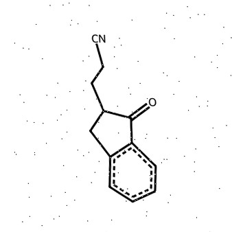 N#CCCC1Cc2ccccc2C1=O